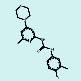 Cc1cc(N2CCOCC2)nc(NC(=O)Nc2ccc(Cl)c(C)c2)n1